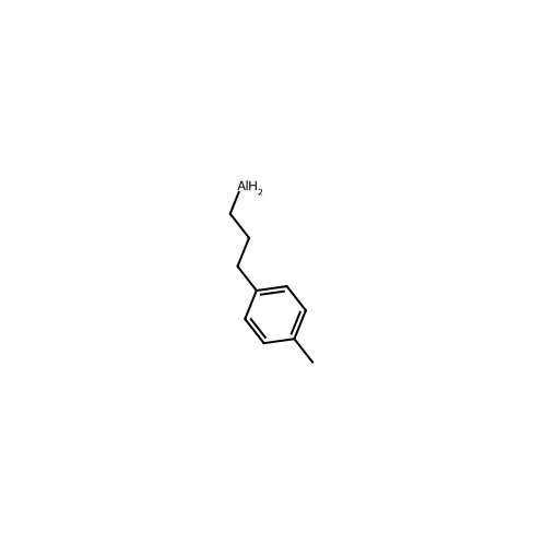 Cc1ccc(CC[CH2][AlH2])cc1